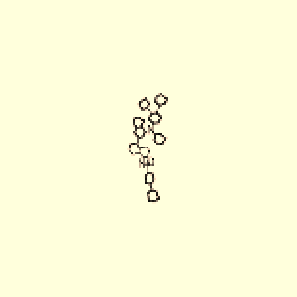 C1=CC(c2cc(N(c3ccccc3)c3ccc(-c4ccccc4)c(-c4ccccc4)c3)c3ccccc3c2)=C2CCc3oc(-c4ccc(-c5ccccc5)cc4)nc3C2C1